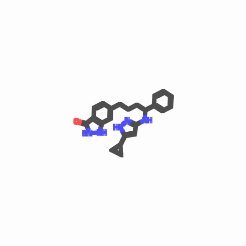 O=c1[nH][nH]c2cc(CCCC(Nc3cc(C4CC4)[nH]n3)c3ccccc3)ccc12